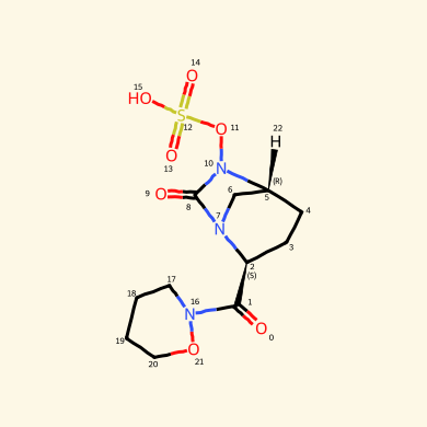 O=C([C@@H]1CC[C@@H]2CN1C(=O)N2OS(=O)(=O)O)N1CCCCO1